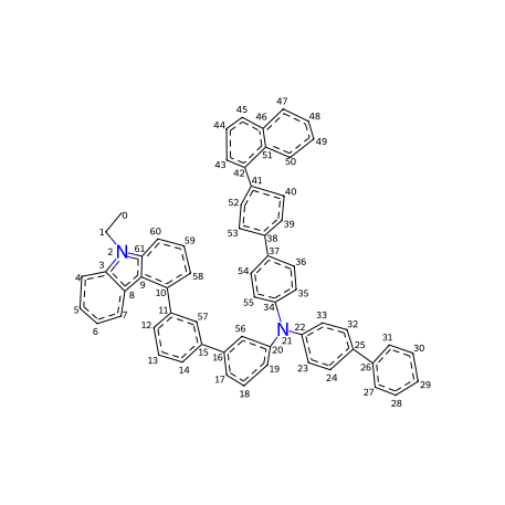 CCn1c2ccccc2c2c(-c3cccc(-c4cccc(N(c5ccc(-c6ccccc6)cc5)c5ccc(-c6ccc(-c7cccc8ccccc78)cc6)cc5)c4)c3)cccc21